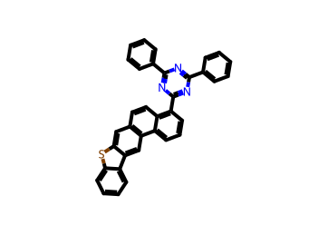 c1ccc(-c2nc(-c3ccccc3)nc(-c3cccc4c3ccc3cc5sc6ccccc6c5cc34)n2)cc1